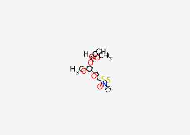 COc1cc(OCC(=O)OC(C)(C)C)cc(-c2ccc(C=C3SC(=S)N(C4CC5CCC4C5)C3=O)o2)c1